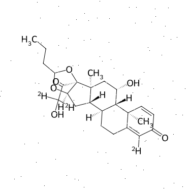 [2H]C1=C2CC[C@@H]3[C@H]([C@@H](O)C[C@@]4(C)[C@H]3C[C@H]3OC(CCC)O[C@]34C(=O)C([2H])([2H])O)[C@@]2(C)C=CC1=O